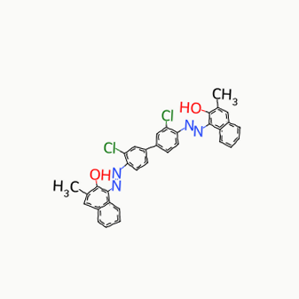 Cc1cc2ccccc2c(N=Nc2ccc(-c3ccc(N=Nc4c(O)c(C)cc5ccccc45)c(Cl)c3)cc2Cl)c1O